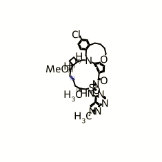 CO[C@H]1/C=C/C[C@H](C)CS(=O)(Nc2ncnc3nn(C)cc23)=NC(=O)c2ccc3c(c2)N(Cc2ccc(Cl)cc2CCCCO3)C[C@@H]2CC[C@H]21